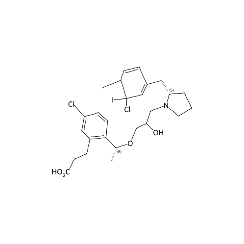 CC1C=CC(C[C@@H]2CCCN2CC(O)CO[C@H](C)c2ccc(Cl)cc2CCC(=O)O)=CC1(Cl)I